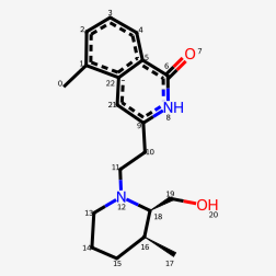 Cc1cccc2c(=O)[nH]c(CCN3CCC[C@H](C)[C@@H]3CO)cc12